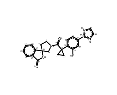 O=C1O[C@]2(CCN(C(=O)C3(c4ccc(-n5nccn5)cc4F)CC3)C2)c2ccccc21